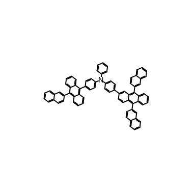 c1ccc(N(c2ccc(-c3ccc4c(-c5ccc6ccccc6c5)c5ccccc5c(-c5ccc6ccccc6c5)c4c3)cc2)c2ccc(-c3c4ccccc4c(-c4ccc5ccccc5c4)c4ccccc34)cc2)cc1